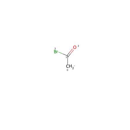 [CH2]C(=O)Br